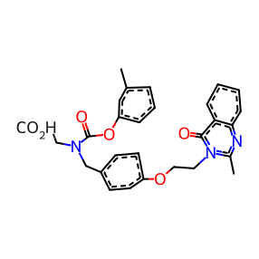 Cc1cccc(OC(=O)N(CC(=O)O)Cc2ccc(OCCn3c(C)nc4ccccc4c3=O)cc2)c1